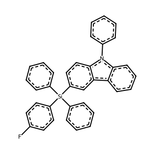 Fc1ccc([Si](c2ccccc2)(c2ccccc2)c2ccc3c(c2)c2ccccc2n3-c2ccccc2)cc1